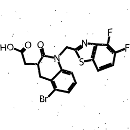 O=C(O)CC1Cc2c(Br)cccc2N(Cc2nc3c(F)c(F)ccc3s2)C1=O